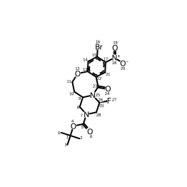 CC(C)(C)OC(=O)N1CC2CCOc3cc(Br)c([N+](=O)[O-])cc3C(=O)N2[C@@H](F)C1